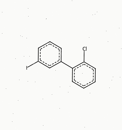 Clc1ccccc1-c1cccc(I)c1